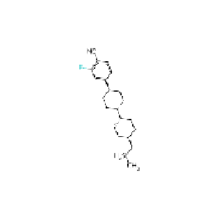 C[SiH2]C[C@H]1CC[C@H]([C@H]2CC[C@H](c3ccc(C#N)c(F)c3)CC2)CC1